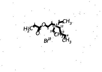 C=CC(=O)OCC[N+](CC)(CC)CCCC.[Br-]